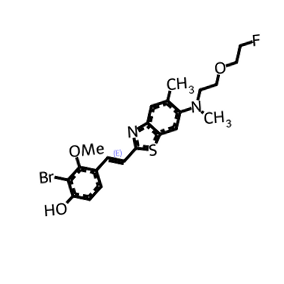 COc1c(/C=C/c2nc3cc(C)c(N(C)CCOCCF)cc3s2)ccc(O)c1Br